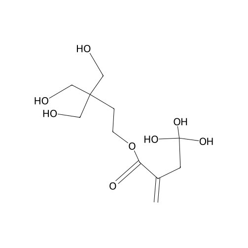 C=C(CC(O)(O)O)C(=O)OCCC(CO)(CO)CO